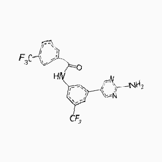 Nc1ncc(-c2cc(NC(=O)c3cccc(C(F)(F)F)c3)cc(C(F)(F)F)c2)cn1